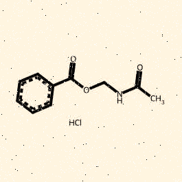 CC(=O)NCOC(=O)c1ccccc1.Cl